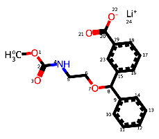 COC(=O)NCCOC(c1ccccc1)c1cccc(C(=O)[O-])c1.[Li+]